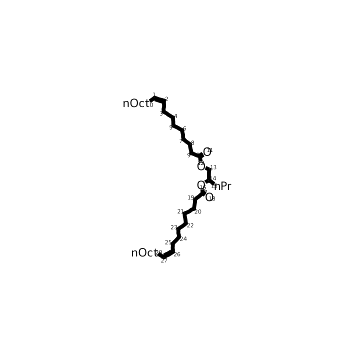 CCCCCCCC/C=C\CCCCCCCC(=O)OCC(CCC)OC(=O)CCCCCCC/C=C\CCCCCCCC